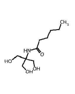 CCCCCC(=O)NC(CO)(CO)CO